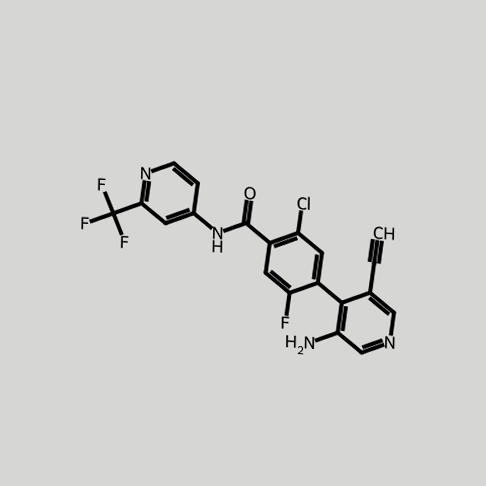 C#Cc1cncc(N)c1-c1cc(Cl)c(C(=O)Nc2ccnc(C(F)(F)F)c2)cc1F